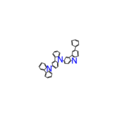 Cn1c2ccc(-c3ccccc3)cc2c2cc(-n3c4ccccc4c4cc(-n5c6ccccc6c6ccccc65)ccc43)ccc21